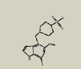 CCS(=O)(=O)C1CCN(Cc2c(OC)cc(C)c3[nH]ccc23)CC1